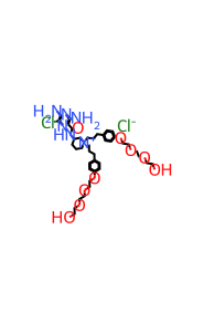 Nc1nc(N)c(C(=O)NC2CCC[N+](CCCc3ccc(OCCOCCOCCO)cc3)(CCCc3ccc(OCCOCCOCCO)cc3)C2)nc1Cl.[Cl-]